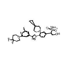 Cc1cc(-c2cn(-c3ccc(C(CO)S(N)(=O)=O)cc3N3CCC4(CC3)CC4)nn2)cc(N2CCC(F)(F)CC2)n1